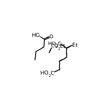 CCC(CCCC(=O)O)C(=O)O.CCCC(=O)O.CCOC(C)=O